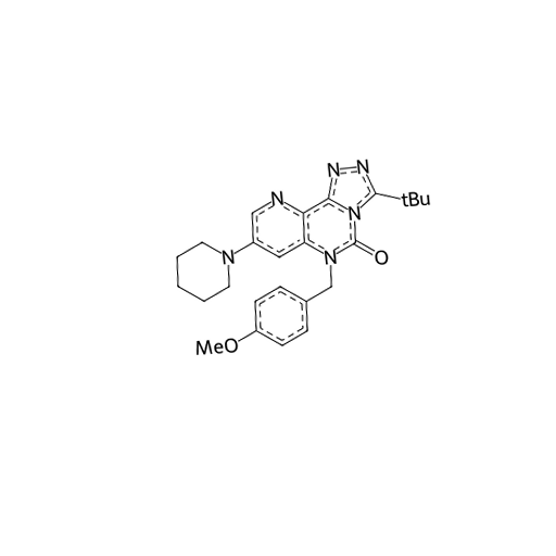 COc1ccc(Cn2c(=O)n3c(C(C)(C)C)nnc3c3ncc(N4CCCCC4)cc32)cc1